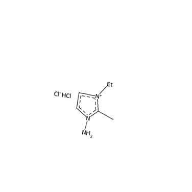 CC[n+]1ccn(N)c1C.Cl.[Cl-]